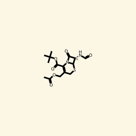 CC(=O)OCC1=C(C(=O)OC(C)(C)C)N2C(=O)[C@H](NC=O)C2SC1